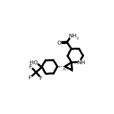 NC(=O)C1CCNC2(C1)C[C@@H]2C1CCC(O)(C(F)(F)F)CC1